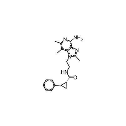 Cc1nc(N)c2nc(C)n(CCNC(=O)[C@@H]3C[C@H]3c3ccccc3)c2c1C